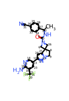 C[C@@H](NC(=O)N1CC2(CCn3nc(-c4cnc(N)c(C(F)(F)F)c4)cc32)C1)c1ccc(C#N)cc1